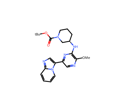 COc1ncc(-c2cnc3ccccn23)nc1N[C@@H]1CCCN(C(=O)OC(C)(C)C)C1